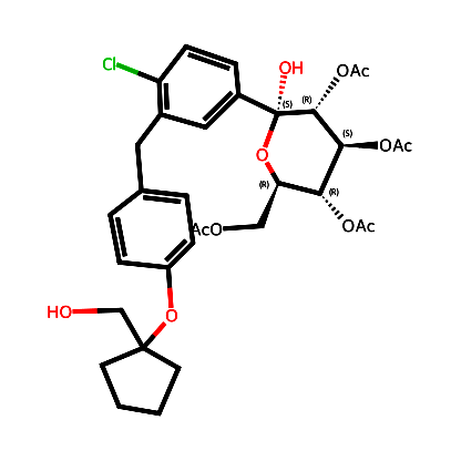 CC(=O)OC[C@H]1O[C@@](O)(c2ccc(Cl)c(Cc3ccc(OC4(CO)CCCC4)cc3)c2)[C@H](OC(C)=O)[C@@H](OC(C)=O)[C@@H]1OC(C)=O